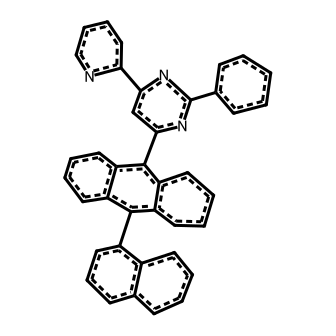 c1ccc(-c2nc(-c3ccccn3)cc(-c3c4ccccc4c(-c4cccc5ccccc45)c4ccccc34)n2)cc1